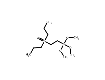 CCCP(=O)(CCC)CC[Si](OC)(OC)OC